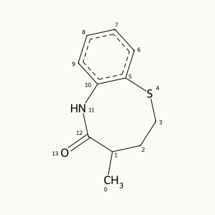 CC1CCSc2ccccc2NC1=O